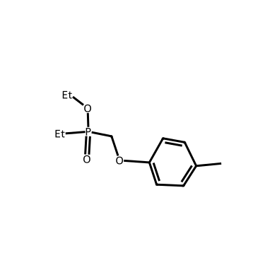 CCOP(=O)(CC)COc1ccc(C)cc1